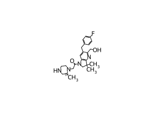 C[C@H]1CNCCN1CC(=O)N1CC(C)(C)c2nc(CO)c(Cc3ccc(F)cc3)cc21